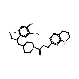 COc1cc([C@H](CC(=O)O)CC2CCN(C(=O)CCc3ccc4c(n3)NCCC4)CC2)ccc1O